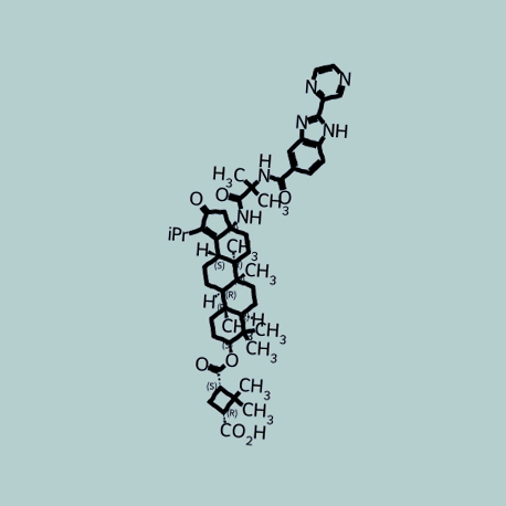 CC(C)C1=C2[C@H]3CC[C@@H]4[C@@]5(C)CC[C@H](OC(=O)[C@H]6C[C@@H](C(=O)O)C6(C)C)C(C)(C)[C@@H]5CC[C@@]4(C)[C@]3(C)CC[C@@]2(NC(=O)C(C)(C)NC(=O)c2ccc3[nH]c(-c4cnccn4)nc3c2)CC1=O